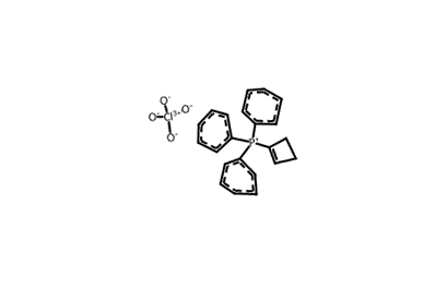 C1=C([P+](c2ccccc2)(c2ccccc2)c2ccccc2)CC1.[O-][Cl+3]([O-])([O-])[O-]